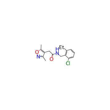 CCc1cccc(Cl)c1CNC(=O)Cc1c(C)noc1C